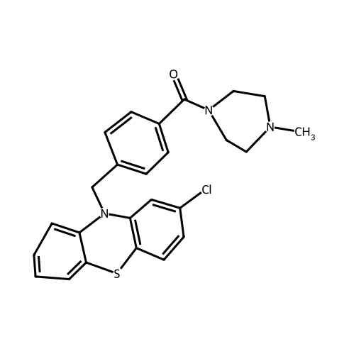 CN1CCN(C(=O)c2ccc(CN3c4ccccc4Sc4ccc(Cl)cc43)cc2)CC1